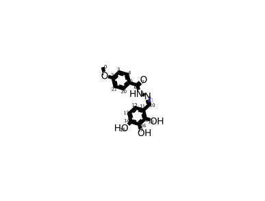 COc1ccc(C(=O)N/N=C\c2ccc(O)c(O)c2O)cc1